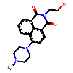 CN1CCN(c2ccc3c4c(cccc24)C(=O)N(CCO)C3=O)CC1